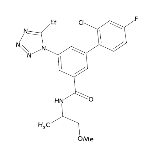 CCc1nnnn1-c1cc(C(=O)NC(C)COC)cc(-c2ccc(F)cc2Cl)c1